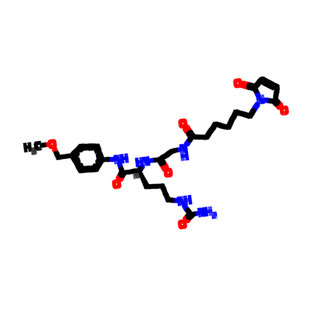 COCc1ccc(NC(=O)[C@H](CCCNC(N)=O)NC(=O)CNC(=O)CCCCCN2C(=O)C=CC2=O)cc1